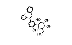 OC[C@H]1O[C@@H](c2cc(C(Cc3ccccc3)c3cccs3)ccc2O)[C@H](O)[C@@H](O)[C@@H]1O